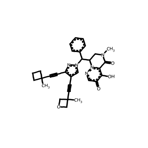 CN1CC(C(c2ccccc2)n2cc(C#CC3(C)COC3)c(C#CC3(C)CCC3)n2)n2ncc(=O)c(O)c2C1=O